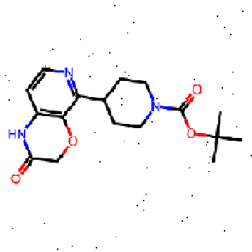 CC(C)(C)OC(=O)N1CCC(c2nccc3c2OCC(=O)N3)CC1